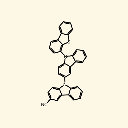 N#Cc1ccc2c(c1)c1ccccc1n2-c1ccc2c(c1)c1ccccc1n2-c1cccc2c1sc1ccccc12